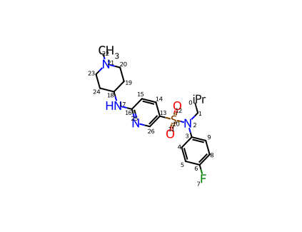 CC(C)CN(c1ccc(F)cc1)S(=O)(=O)c1ccc(NC2CCN(C)CC2)nc1